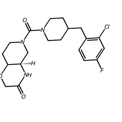 O=C1COC2CCN(C(=O)N3CCC(Cc4ccc(F)cc4Cl)CC3)C[C@H]2N1